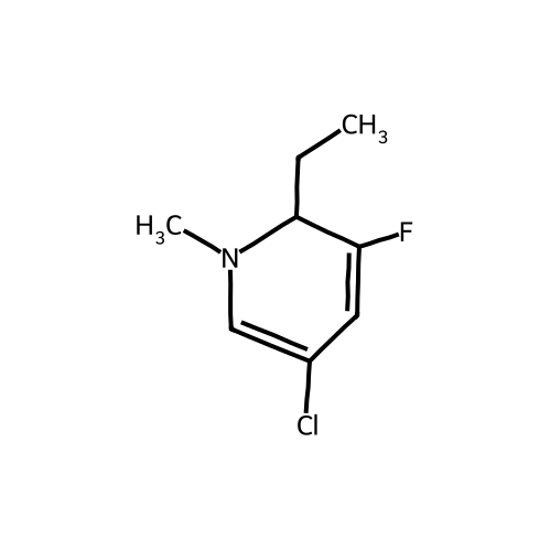 CCC1C(F)=CC(Cl)=CN1C